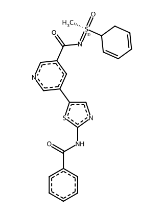 C[S@@](=O)(=NC(=O)c1cncc(-c2cnc(NC(=O)c3ccccc3)s2)c1)C1C=CC=CC1